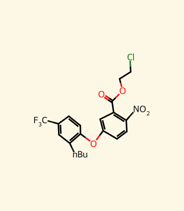 CCCCc1cc(C(F)(F)F)ccc1Oc1ccc([N+](=O)[O-])c(C(=O)OCCCl)c1